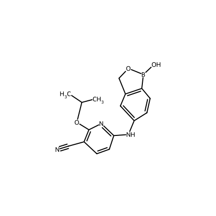 CC(C)Oc1nc(Nc2ccc3c(c2)COB3O)ccc1C#N